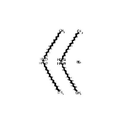 CCCCCCCCCCCCCCCCCC(=O)[NH][Ti+][NH]C(=O)CCCCCCCCCCCCCCCCC.CCCCCCCCCCCCCCCCCC(=O)[NH][Ti+][NH]C(=O)CCCCCCCCCCCCCCCCC.[Cl-].[Cl-]